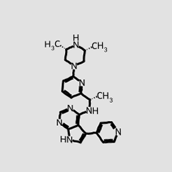 C[C@@H]1CN(c2cccc([C@H](C)Nc3ncnc4[nH]cc(-c5ccncc5)c34)n2)C[C@H](C)N1